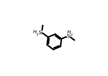 C[SiH2]c1cccc([SiH2]C)c1